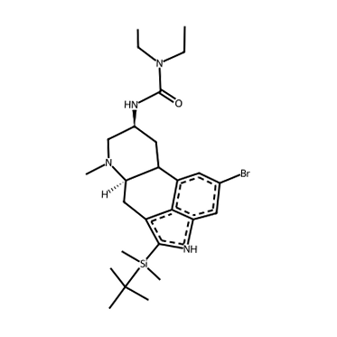 CCN(CC)C(=O)N[C@H]1CC2c3cc(Br)cc4[nH]c([Si](C)(C)C(C)(C)C)c(c34)C[C@H]2N(C)C1